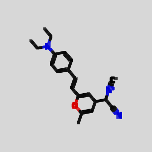 [C-]#[N+]C(C#N)C1C=C(C)OC(C=Cc2ccc(N(CC)CC)cc2)=C1